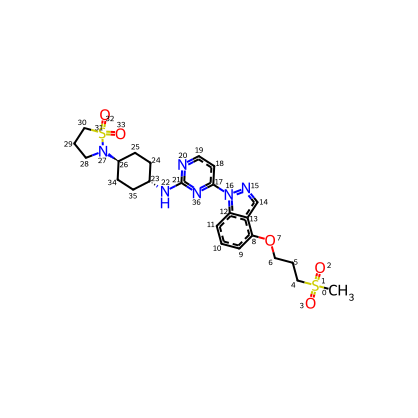 CS(=O)(=O)CCCOc1cccc2c1cnn2-c1ccnc(N[C@H]2CC[C@H](N3CCCS3(=O)=O)CC2)n1